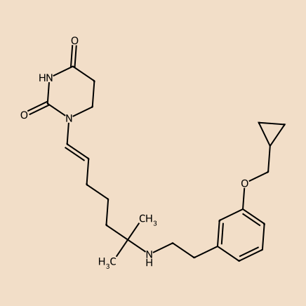 CC(C)(CCC/C=C/N1CCC(=O)NC1=O)NCCc1cccc(OCC2CC2)c1